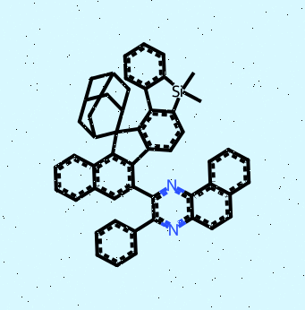 C[Si]1(C)c2ccccc2-c2c1ccc1c2C2(c3c-1c(-c1nc4c(ccc5ccccc54)nc1-c1ccccc1)cc1ccccc31)C1CC3CC(C1)CC2C3